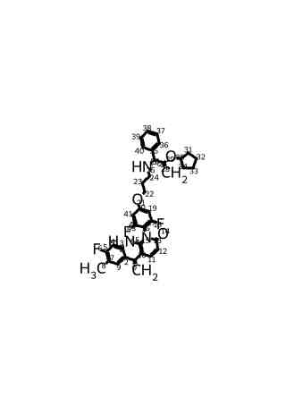 C=C(c1ccc(F)c(C)c1)c1ccc(=O)n(-c2c(F)cc(OCCCN[C@H](C(=C)OC3CCCC3)c3ccccc3)cc2F)c1N